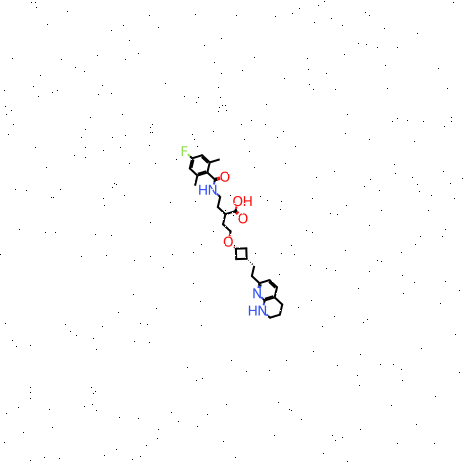 Cc1cc(F)cc(C)c1C(=O)NCCC(CCO[C@H]1C[C@@H](CCc2ccc3c(n2)NCCC3)C1)C(=O)O